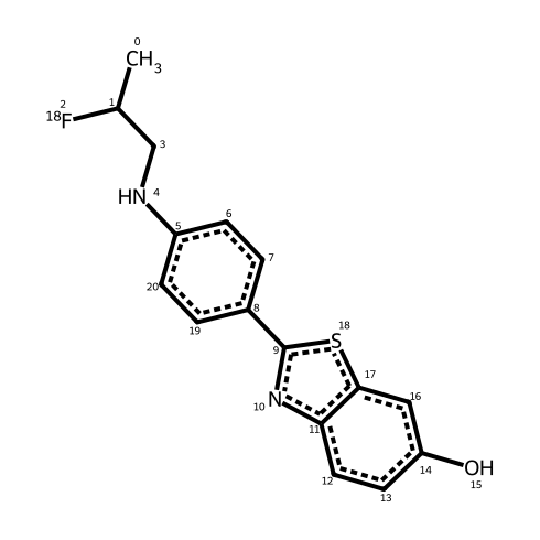 CC([18F])CNc1ccc(-c2nc3ccc(O)cc3s2)cc1